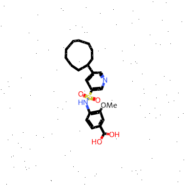 COc1cc(C(O)O)ccc1NS(=O)(=O)c1cncc(C2CCCCCCCCC2)c1